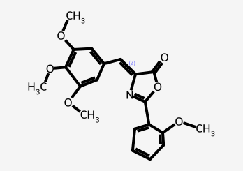 COc1ccccc1C1=N/C(=C\c2cc(OC)c(OC)c(OC)c2)C(=O)O1